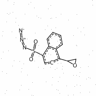 [N-]=[N+]=NS(=O)(=O)c1ccc(C2CO2)c2ccccc12